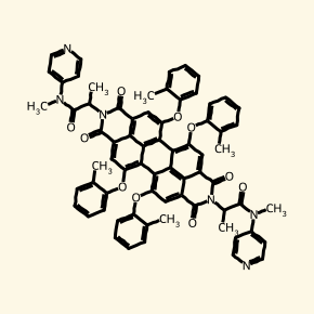 Cc1ccccc1Oc1cc2c3c(cc(Oc4ccccc4C)c4c5c(Oc6ccccc6C)cc6c7c(cc(Oc8ccccc8C)c(c1c34)c75)C(=O)N(C(C)C(=O)N(C)c1ccncc1)C6=O)C(=O)N(C(C)C(=O)N(C)c1ccncc1)C2=O